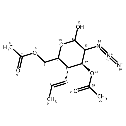 CC=C[C@@H]1C(COC(C)=O)OC(O)C(N=[N+]=[N-])[C@H]1OC(C)=O